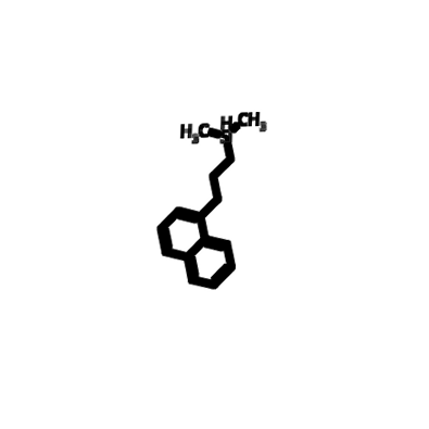 C[SiH](C)CCCc1cccc2ccccc12